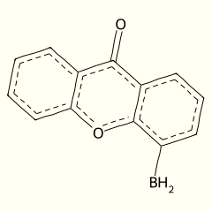 Bc1cccc2c(=O)c3ccccc3oc12